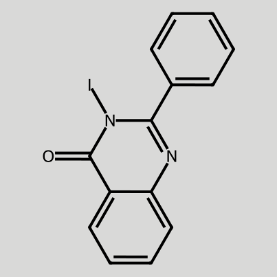 O=c1c2ccccc2nc(-c2ccccc2)n1I